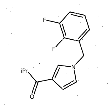 CC(C)C(=O)c1ccn(Cc2cccc(F)c2F)c1